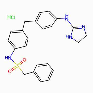 Cl.O=S(=O)(Cc1ccccc1)Nc1ccc(Cc2ccc(NC3=NCCN3)cc2)cc1